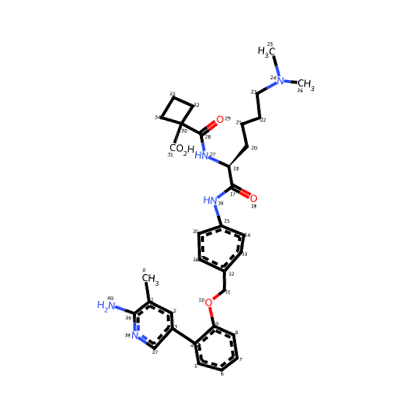 Cc1cc(-c2ccccc2OCc2ccc(NC(=O)[C@H](CCCCN(C)C)NC(=O)C3(C(=O)O)CCC3)cc2)cnc1N